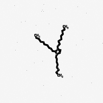 CCCCCCCCCCC1N(CCCCCCCC)C=CN1CCCCCCCCC